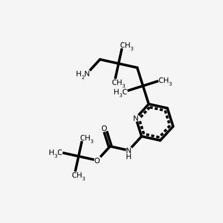 CC(C)(CN)CC(C)(C)c1cccc(NC(=O)OC(C)(C)C)n1